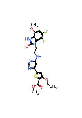 CCOc1cc(-c2cc(NCCn3c(=O)[nH]c4c(OC)cc(F)c(F)c43)ncn2)sc1C(=O)OC